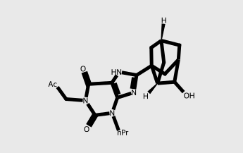 CCCn1c(=O)n(CC(C)=O)c(=O)c2[nH]c(C34CC5C[C@H](C[C@@H]3C5O)C4)nc21